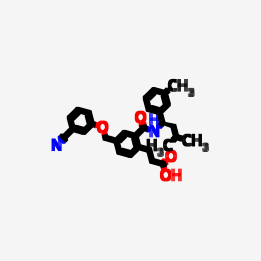 Cc1cccc([C@@H](CC(C)C)NC(=O)c2cc(COc3cccc(C#N)c3)ccc2CCC(=O)O)c1